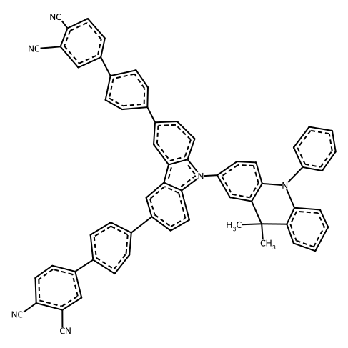 CC1(C)c2ccccc2N(c2ccccc2)c2ccc(-n3c4ccc(-c5ccc(-c6ccc(C#N)c(C#N)c6)cc5)cc4c4cc(-c5ccc(-c6ccc(C#N)c(C#N)c6)cc5)ccc43)cc21